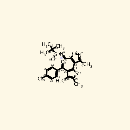 Cc1noc(/C=N/[S+]([O-])C(C)(C)C)c1-c1sc(C)c(C)c1C(=O)c1ccc(Cl)cc1